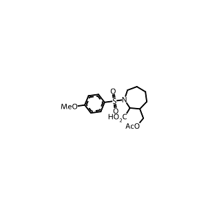 COc1ccc(S(=O)(=O)N2CCCCC(COC(C)=O)C2C(=O)O)cc1